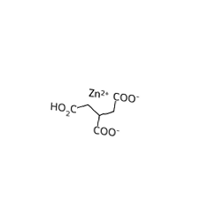 O=C([O-])CC(CC(=O)O)C(=O)[O-].[Zn+2]